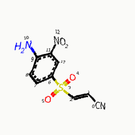 N#CC=CS(=O)(=O)c1ccc(N)c([N+](=O)[O-])c1